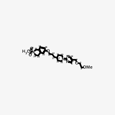 COCCOCc1cnc(N2CCC(CCCOc3ccc4c(c3)CCN(S(C)(=O)=O)C4)CC2)nc1